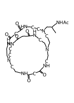 CC(=O)NC(C)CN1CCNC(=O)CC(=O)NCCN2CCNC(=O)CC(=O)NCCN(CCNC(=O)CC(=O)NCC2)CC1